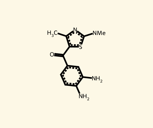 CNc1nc(C)c(C(=O)c2ccc(N)c(N)c2)s1